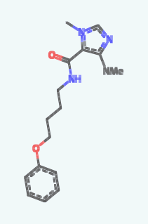 CNc1ncn(C)c1C(=O)NCCCCOc1ccccc1